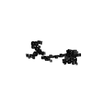 C=CC(=O)N1CCN(c2nc(NCCC(=O)N(C)CCOCCOCCOCCOCC(=O)N[C@H](C(=O)N3C[C@H](O)C[C@H]3C(=O)N[C@@H](C)c3ccc(-c4scnc4C)cc3)C(C)(C)C)nc3c(F)c(-c4cc(O)cc5ccccc45)c(Cl)cc23)CC1